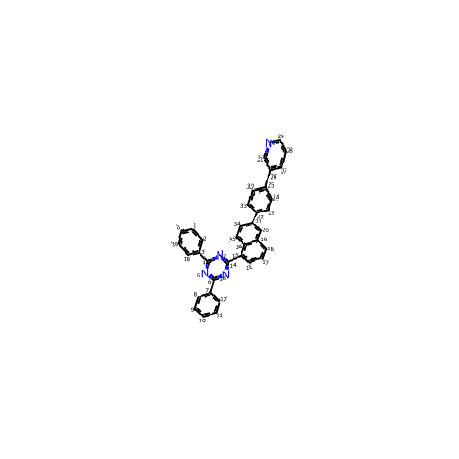 c1ccc(-c2nc(-c3ccccc3)nc(-c3cccc4cc(-c5ccc(-c6cccnc6)cc5)ccc34)n2)cc1